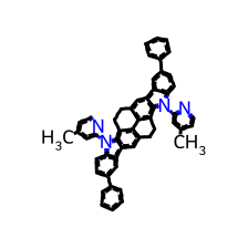 Cc1ccnc(-n2c3ccc(-c4ccccc4)cc3c3cc4c5c(c32)CCc2cc3c6cc(-c7ccccc7)ccc6n(-c6cc(C)ccn6)c3c(c2-5)CC4)c1